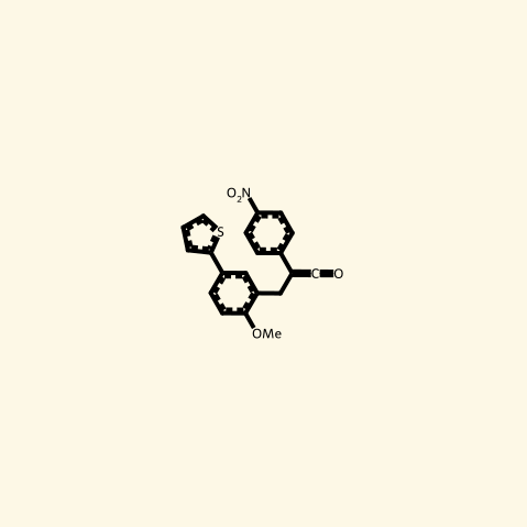 COc1ccc(-c2cccs2)cc1CC(=C=O)c1ccc([N+](=O)[O-])cc1